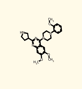 COc1cc2nc(C3CCNC3)nc(N3CCN(c4ccccc4OC)CC3)c2cc1OC